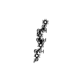 CCOc1ccc(C(=O)NCCc2ccc(S(=O)(=O)NC(=O)c3ccc(C(=O)NCC(=O)OCc4ccccc4)nc3)cc2)cc1